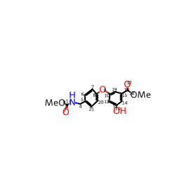 COC(=O)NCc1ccc(Oc2cc(O)cc(C(=O)OC)c2)cc1